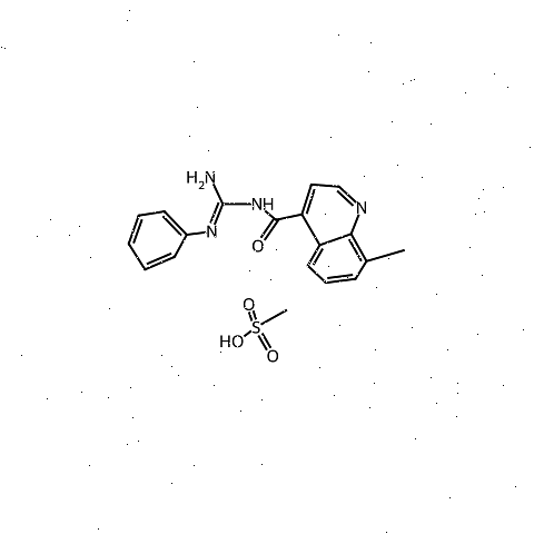 CS(=O)(=O)O.Cc1cccc2c(C(=O)NC(N)=Nc3ccccc3)ccnc12